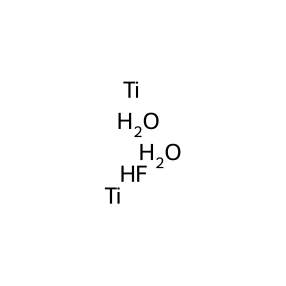 F.O.O.[Ti].[Ti]